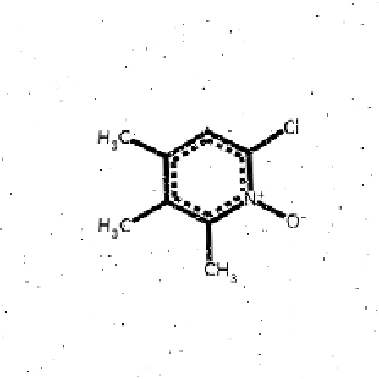 Cc1[c]c(Cl)[n+]([O-])c(C)c1C